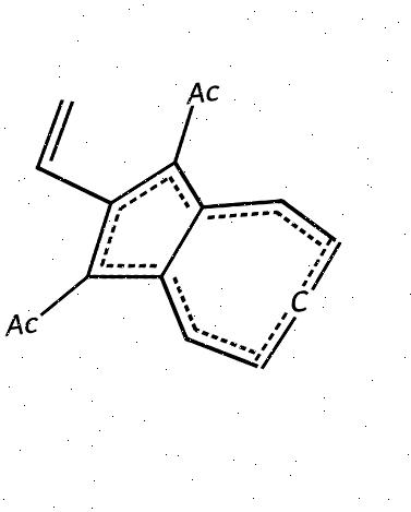 C=Cc1c(C(C)=O)c2cccccc-2c1C(C)=O